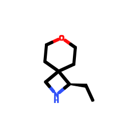 CC[C@H]1NCC12CCOCC2